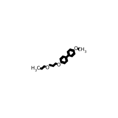 CCCOCCCOc1ccc(-c2ccc(OC)cc2)cc1